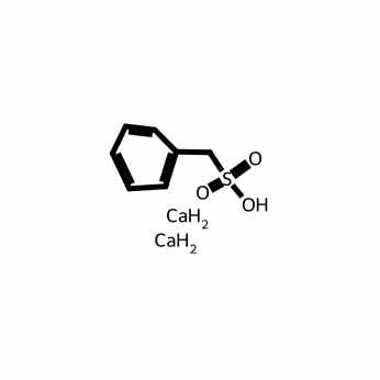 O=S(=O)(O)Cc1ccccc1.[CaH2].[CaH2]